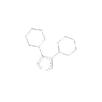 c1[se]cc(C2CCCCC2)c1C1CCCCC1